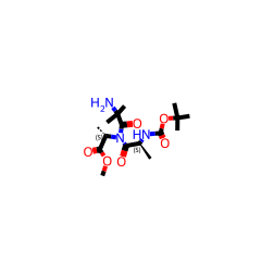 COC(=O)[C@H](C)N(C(=O)[C@H](C)NC(=O)OC(C)(C)C)C(=O)C(C)(C)N